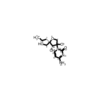 CCC[C@]1(CO)OCC(Cl)(n2ccc(N)nc2=O)[C@@H]1O